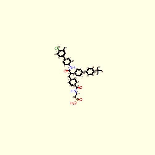 Cc1cc(-c2ccc(NC(=O)C(Cc3ccc(C(=O)NCCS(=O)O)cc3)c3ccc(-c4ccc(C(C)(C)C)cc4)cc3)cc2)ccc1Cl